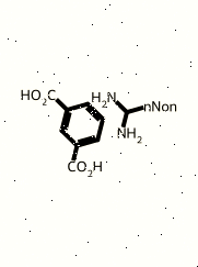 CCCCCCCCCC(N)N.O=C(O)c1cccc(C(=O)O)c1